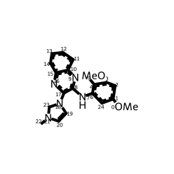 COc1ccc(OC)c(Nc2nc3ccccc3nc2N2C=CN(C)C2)c1